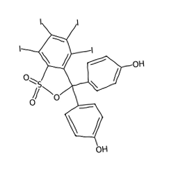 O=S1(=O)OC(c2ccc(O)cc2)(c2ccc(O)cc2)c2c(I)c(I)c(I)c(I)c21